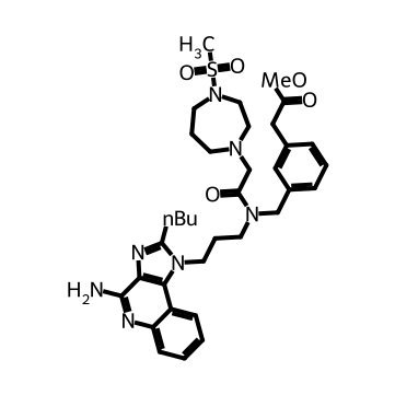 CCCCc1nc2c(N)nc3ccccc3c2n1CCCN(Cc1cccc(CC(=O)OC)c1)C(=O)CN1CCCN(S(C)(=O)=O)CC1